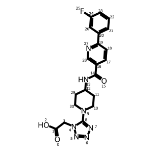 O=C(O)Cn1nnnc1N1CCC(NC(=O)c2ccc(-c3cccc(F)c3)nc2)CC1